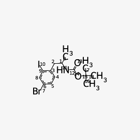 CC(Cc1ccc(Br)cc1I)NC(=O)OC(C)(C)C